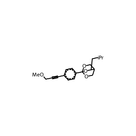 COCC#Cc1ccc(C23OCC(CO2)C(CC(C)C)O3)cc1